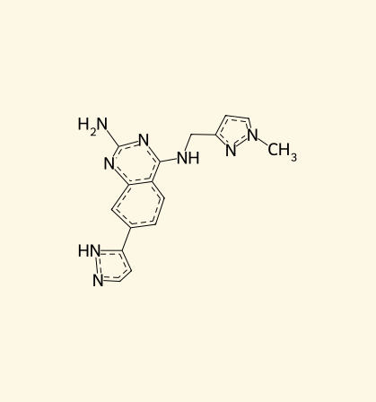 Cn1ccc(CNc2nc(N)nc3cc(-c4ccn[nH]4)ccc23)n1